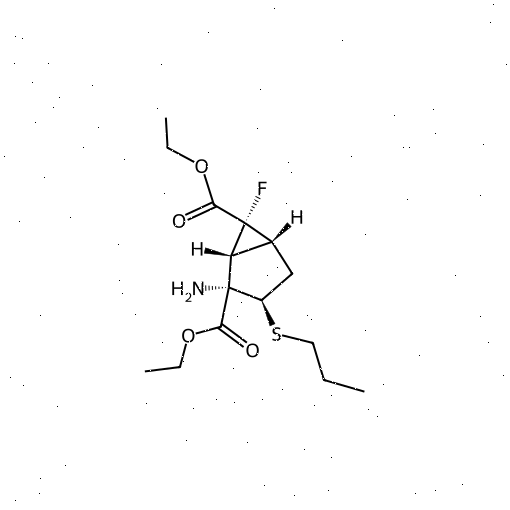 CCCS[C@@H]1C[C@@H]2[C@H]([C@]1(N)C(=O)OCC)[C@@]2(F)C(=O)OCC